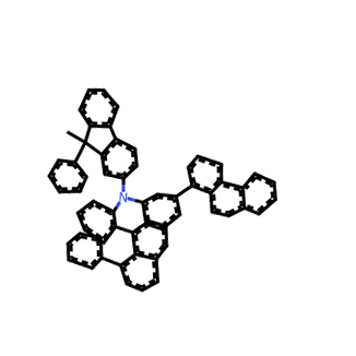 CC1(c2ccccc2)c2ccccc2-c2ccc(N(c3cccc(-c4cccc5c4ccc4ccccc45)c3)c3ccccc3-c3cccc4cccc(-c5ccccc5)c34)cc21